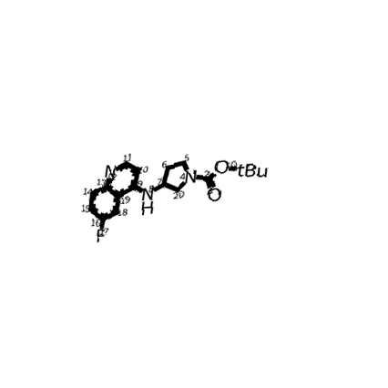 CC(C)(C)OC(=O)N1CCC(Nc2ccnc3ccc(F)cc23)C1